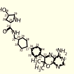 CC1(C)Oc2ncnc(N)c2N=C1c1ccc([C@H]2CC[C@H](CNC(=O)[C@@H]3C[C@@H](O)CN3)CC2)cc1